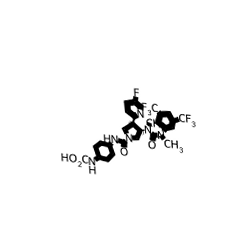 CN(C(=O)N(C)[C@@H]1CN(C(=O)NC2CCC(NC(=O)O)CC2)C[C@H]1c1ccc(F)cn1)c1cc(C(F)(F)F)cc(C(F)(F)F)c1